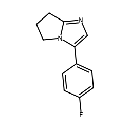 Fc1ccc(-c2cnc3n2CCC3)cc1